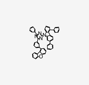 c1ccc(-c2ccc3c4c(-c5ccccc5)cccc4n(-c4nc(-c5ccccc5)nc(-c5cccc(-c6cccc7oc8ccccc8c67)c5)n4)c3c2)cc1